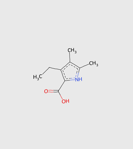 CCc1c(C(=O)O)[nH]c(C)c1C